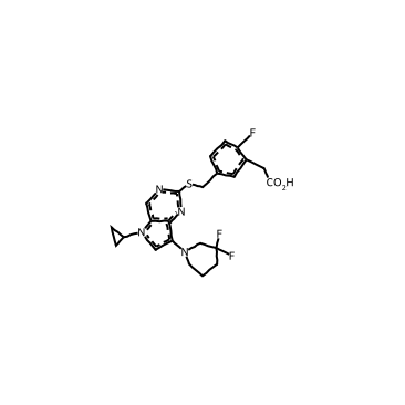 O=C(O)Cc1cc(CSc2ncc3c(n2)c(N2CCCC(F)(F)C2)cn3C2CC2)ccc1F